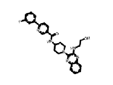 O=C(NC1CCN(c2nc3ccccc3nc2NCCO)CC1)c1ccc(-c2cccc(F)c2)nc1